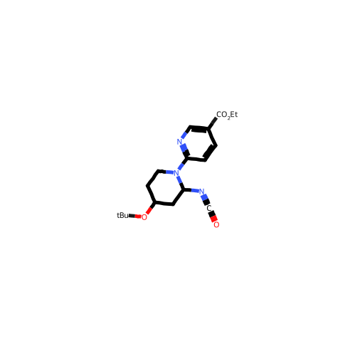 CCOC(=O)c1ccc(N2CCC(OC(C)(C)C)CC2N=C=O)nc1